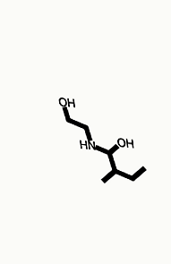 CCC(C)C(O)NCCO